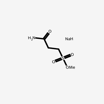 COS(=O)(=O)CCC(N)=O.[NaH]